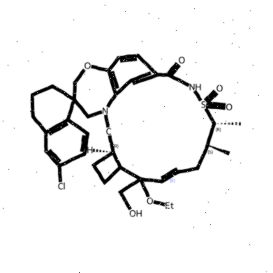 CCOC1(CO)/C=C/C[C@H](C)[C@@H](C)S(=O)(=O)NC(=O)c2ccc3c(c2)N(C[C@@H]2CCC21)CC1(CCCc2cc(Cl)ccc21)CO3